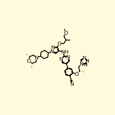 COCC(C)COc1nn(C2CCC(N3C[C@@H](C)O[C@@H](C)C3)CC2)cc1Nc1ncc(-c2ccc(C#N)c(O[C@@H](C)Cn3cnnn3)c2)cn1